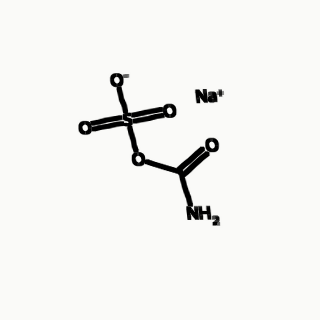 NC(=O)OS(=O)(=O)[O-].[Na+]